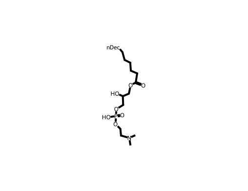 CCCCCCCCCCCCCCCC(=O)OCC(O)COP(=O)(O)OCCN(C)C